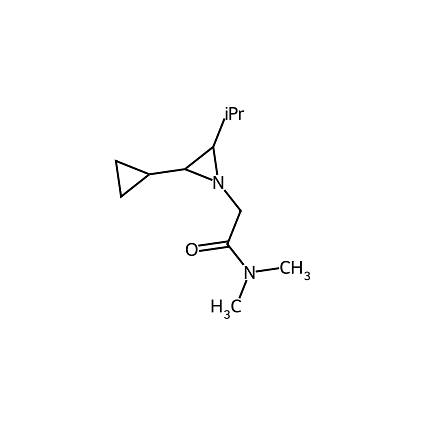 CC(C)C1C(C2CC2)N1CC(=O)N(C)C